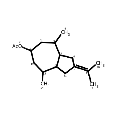 CC(=O)OC1CC(C)C2CC(=C(C)C)CC2C(C)C1